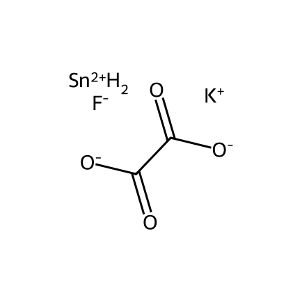 O=C([O-])C(=O)[O-].[F-].[K+].[SnH2+2]